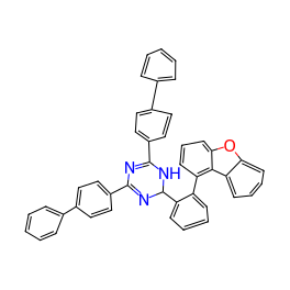 c1ccc(-c2ccc(C3=NC(c4ccccc4-c4cccc5oc6ccccc6c45)NC(c4ccc(-c5ccccc5)cc4)=N3)cc2)cc1